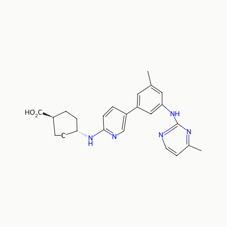 Cc1cc(Nc2nccc(C)n2)cc(-c2ccc(N[C@H]3CC[C@H](C(=O)O)CC3)nc2)c1